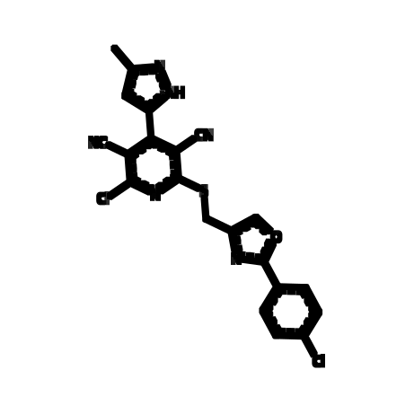 Cc1cc(-c2c(C#N)c(Cl)nc(SCc3coc(-c4ccc(Cl)cc4)n3)c2C#N)[nH]n1